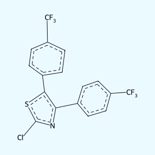 FC(F)(F)c1ccc(-c2nc(Cl)sc2-c2ccc(C(F)(F)F)cc2)cc1